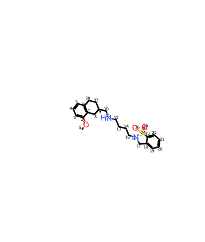 COc1cccc2c1CC(CNCCCCN1Cc3ccccc3S1(=O)=O)CC2